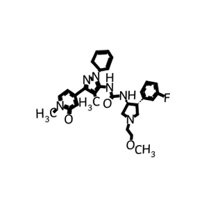 COCCN1C[C@@H](NC(=O)Nc2c(C)c(-c3ccn(C)c(=O)c3)nn2C2C=CC=CC2)[C@H](c2cccc(F)c2)C1